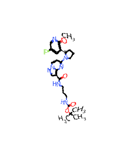 COc1ncc(F)cc1[C@H]1CCCN1c1ccn2ncc(C(=O)NCCCNC(=O)OC(C)(C)C)c2n1